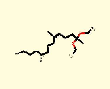 CC(=CCCC(C)(OCC(F)(F)F)OCC(F)(F)F)CCC[C@H](C)CCCC(C)C